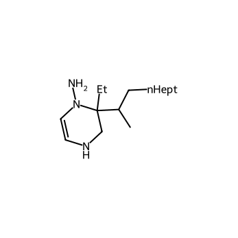 CCCCCCCCC(C)C1(CC)CNC=CN1N